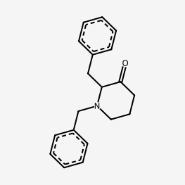 O=C1CCCN(Cc2ccccc2)C1Cc1ccccc1